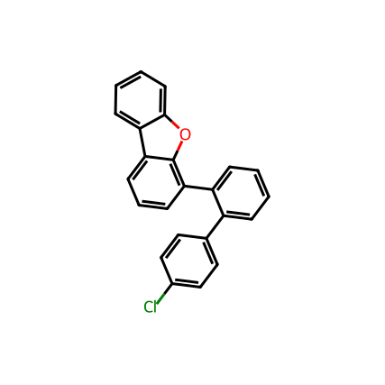 Clc1ccc(-c2ccccc2-c2cccc3c2oc2ccccc23)cc1